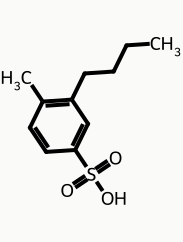 CCCCc1cc(S(=O)(=O)O)ccc1C